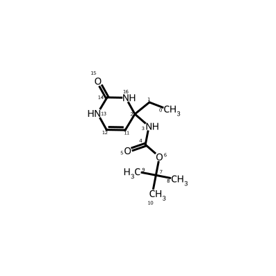 CCC1(NC(=O)OC(C)(C)C)C=CNC(=O)N1